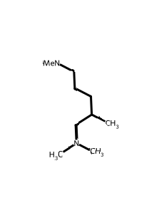 CNCCCC(C)CN(C)C